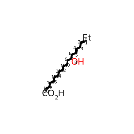 CCC=CCC=CCC(O)CCCCCCCCCCCC(=O)O